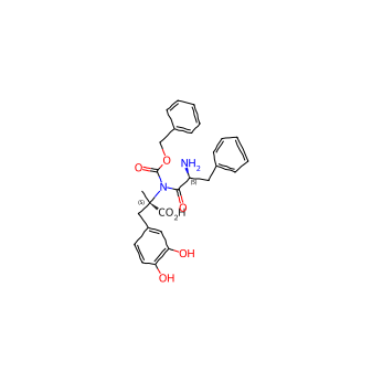 C[C@](Cc1ccc(O)c(O)c1)(C(=O)O)N(C(=O)OCc1ccccc1)C(=O)[C@@H](N)Cc1ccccc1